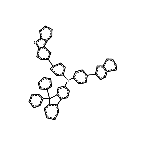 c1ccc(C2(c3ccccc3)c3ccccc3-c3ccc(N(c4ccc(-c5ccc6ccccc6c5)cc4)c4ccc(-c5ccc6oc7ccccc7c6c5)cc4)cc32)cc1